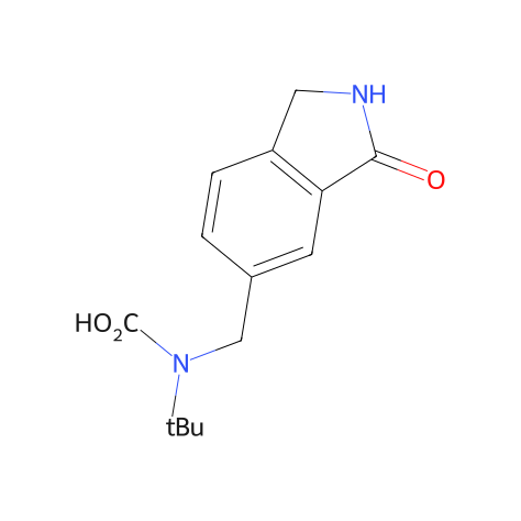 CC(C)(C)N(Cc1ccc2c(c1)C(=O)NC2)C(=O)O